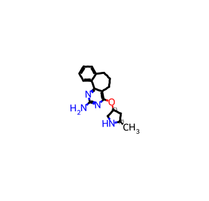 C[C@@H]1C[C@H](Oc2nc(N)nc3c2CCCc2ccccc2-3)CN1